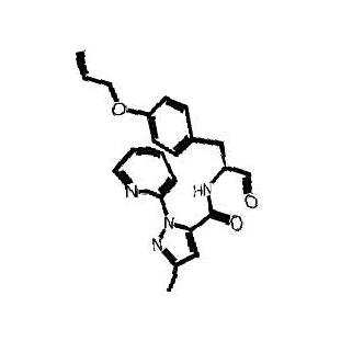 C=CCOc1ccc(C[C@@H](C=O)NC(=O)c2cc(C)nn2-c2ccccn2)cc1